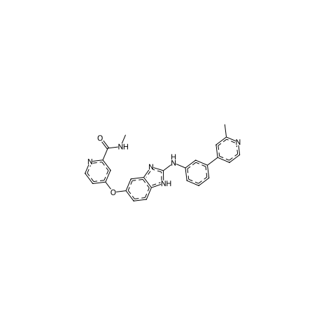 CNC(=O)c1cc(Oc2ccc3[nH]c(Nc4cccc(-c5ccnc(C)c5)c4)nc3c2)ccn1